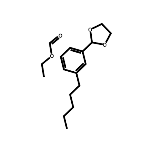 CCCCCc1cccc(C2OCCO2)c1.CCOC=O